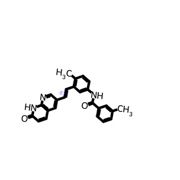 Cc1cccc(C(=O)Nc2ccc(C)c(/C=C/c3cnc4[nH]c(=O)ccc4c3)c2)c1